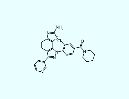 Nc1nc2c(s1)-c1c(c(-c3cccnc3)nn1-c1ccc(C(=O)N3CCCCC3)cc1Cl)CC2